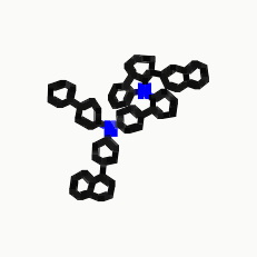 c1ccc(-c2ccc(N(c3ccc(-c4ccccc4-n4c5ccccc5c5cccc(-c6ccc7ccccc7c6)c54)cc3)c3ccc(-c4cccc5ccccc45)cc3)cc2)cc1